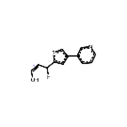 O/C=C\C(F)c1cc(-c2cccnc2)cs1